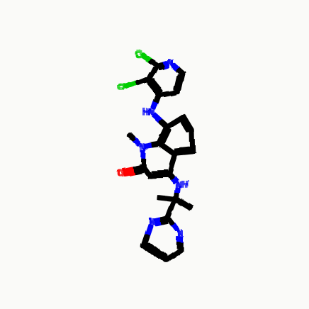 Cn1c(=O)cc(NC(C)(C)c2ncccn2)c2cccc(Nc3ccnc(Cl)c3Cl)c21